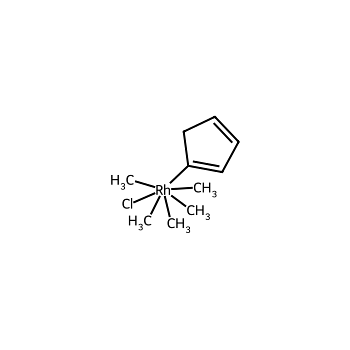 [CH3][Rh]([CH3])([CH3])([CH3])([CH3])([Cl])[C]1=CC=CC1